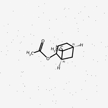 CC(=O)OC1CC[C@H]2C[C@@H]1C2(C)C